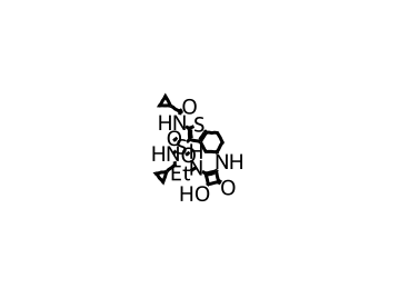 CCNC1=C(NC2CCc3sc(NC(=O)C4CC4)c(S(=O)(=O)NCC4CC4)c3C2)C(=O)C1O